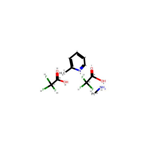 Cc1ccccn1.O=C(O)C(F)(F)F.O=C(O)C(F)(F)F.[NH2][Pt]